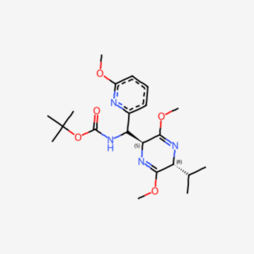 COC1=N[C@H](C(C)C)C(OC)=N[C@H]1C(NC(=O)OC(C)(C)C)c1cccc(OC)n1